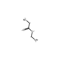 CCC[CH]OC(=O)CC#N